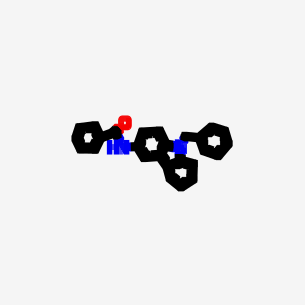 O=C(Nc1ccc2c(c1)c1ccccc1n2Cc1ccccc1)c1ccccc1